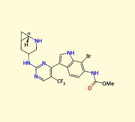 COC(=O)Nc1ccc2c(-c3nc(NC4CN[C@H]5CC5C4)ncc3C(F)(F)F)c[nH]c2c1Br